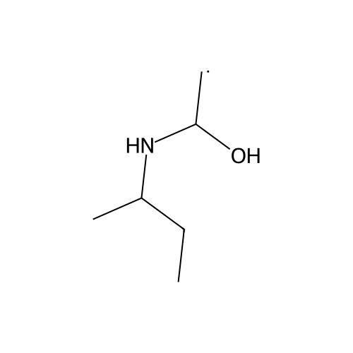 [CH2]C(O)NC(C)CC